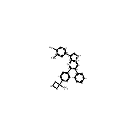 NC1(c2ccc(-c3nc4c(-c5ccc(F)c(Cl)c5)cnn4cc3-c3ccccc3)cc2)CCC1